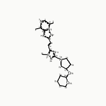 Cc1ncc(C)n2nc(C=Cc3nc(N4CCC(OC5CCCCO5)C4)nn3C)nc12